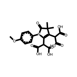 COc1ccc(N2C(=O)C(C)(C)C(C(C(=O)O)C(=O)O)=C2C(C(=O)O)C(=O)O)cc1